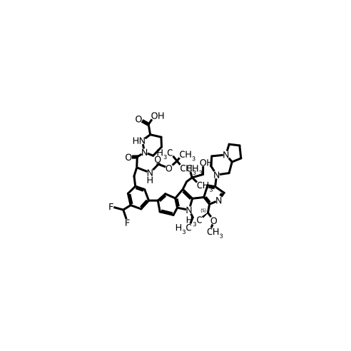 CCn1c(-c2cc(N3CCN4CCCC4C3)cnc2[C@H](C)OC)c(CC(C)(C)CO)c2cc(-c3cc(CC(NC(=O)OC(C)(C)C)C(=O)N4CCCC(C(=O)O)N4)cc(C(F)F)c3)ccc21